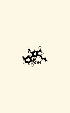 C=CCC1OC(=O)c2cc(OC)c(-c3cc(C)ccc3S(=O)(=O)O)cc21